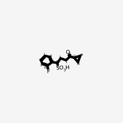 O=C(CCC(c1ccccc1F)S(=O)(=O)O)C1CC1